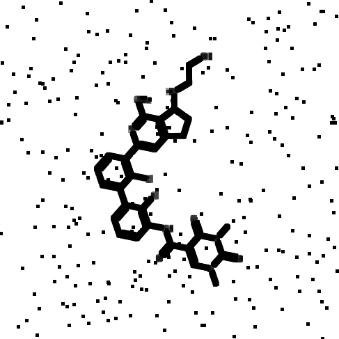 COc1nc(-c2cccc(-c3cccc(NC(=O)c4cn(C)c(=O)n(C)c4=O)c3Cl)c2Cl)cc2c1C(NCCO)CC2